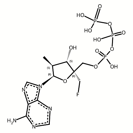 C[C@@H]1[C@H](n2cnc3c(N)ncnc32)O[C@](CF)(COP(=O)(O)OP(=O)(O)OP(=O)(O)O)[C@H]1O